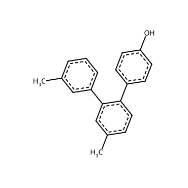 Cc1cccc(-c2cc(C)ccc2-c2ccc(O)cc2)c1